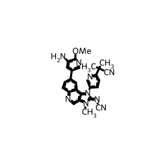 COc1ncc(-c2ccc3ncc4c(c3c2)n(-c2ccc(C(C)(C)C#N)nc2)c(=NC#N)n4C)cc1N